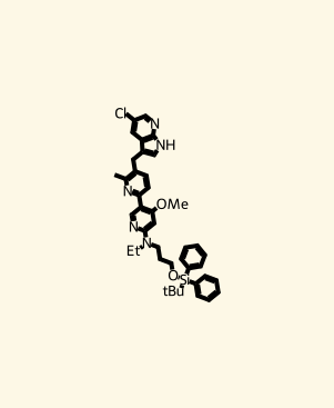 CCN(CCCO[Si](c1ccccc1)(c1ccccc1)C(C)(C)C)c1cc(OC)c(-c2ccc(Cc3c[nH]c4ncc(Cl)cc34)c(C)n2)cn1